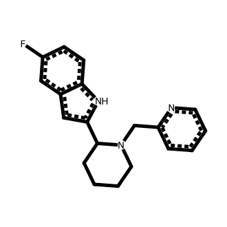 Fc1ccc2[nH]c(C3CCCCN3Cc3ccccn3)cc2c1